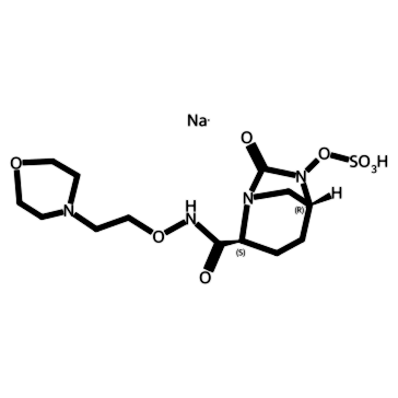 O=C(NOCCN1CCOCC1)[C@@H]1CC[C@@H]2CN1C(=O)N2OS(=O)(=O)O.[Na]